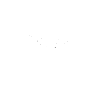 Cc1cc(N)ccc1Oc1ccc(C(C)(C)C)cc1